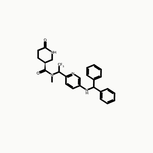 CN(C(=O)[C@H]1CCC(=O)NC1)C(c1ccc(NC(c2ccccc2)c2ccccc2)cn1)C(F)(F)F